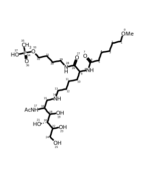 COCCCCCC(=O)NC(CCCCNCC(NC(C)=O)C(O)[C@@H](O)C(O)CO)C(=O)NCCCCOP(C)(=O)O